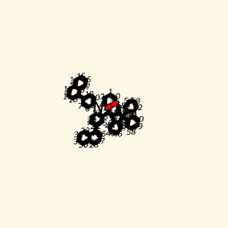 c1ccc(N(c2ccc(-c3cccc4ccccc34)cc2)c2ccc(-c3cccc4ccccc34)cc2-c2cccc3c2-c2ccccc2C3(c2ccccc2)c2ccccc2)cc1